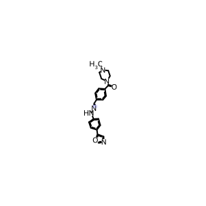 CN1CCN(C(=O)c2ccc(/C=N/Nc3ccc(-c4cnco4)cc3)cc2)CC1